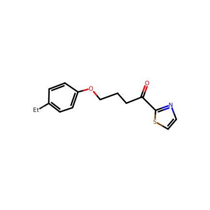 CCc1ccc(OCCCC(=O)c2nccs2)cc1